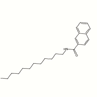 CCCCCCCCCCCCNC(=O)c1ccc2ccccc2c1